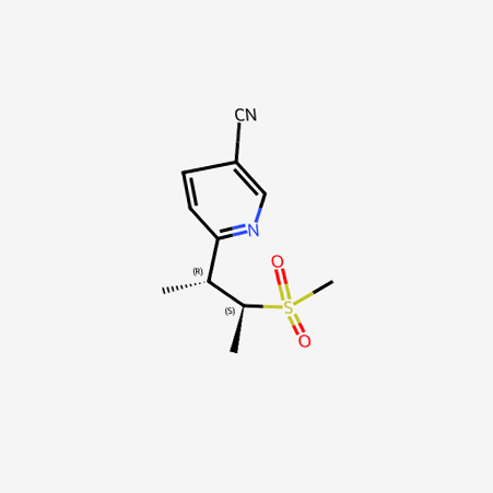 C[C@H](c1ccc(C#N)cn1)[C@H](C)S(C)(=O)=O